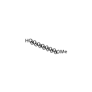 COOOOOOOOOOOOOOO